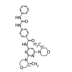 C[C@H]1COCCN1c1cc(NC(=O)c2ccc(NC(=O)Nc3ccccc3)cc2)nc(N2CCOC[C@@H]2C)n1